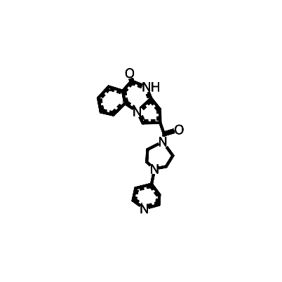 O=C(c1cc2[nH]c(=O)c3ccccc3n2c1)N1CCN(c2ccncc2)CC1